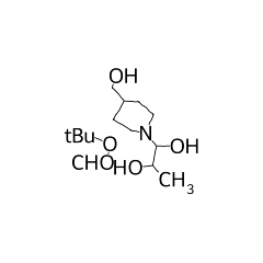 CC(C)(C)OC=O.CC(O)C(O)N1CCC(CO)CC1